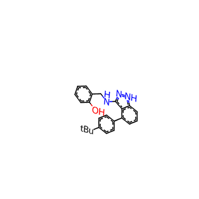 CC(C)(C)c1ccc(-c2cccc3[nH]nc(NCc4ccccc4O)c23)cc1